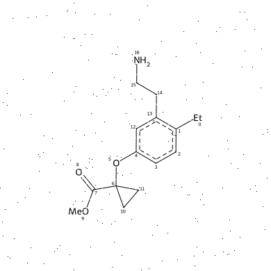 CCc1ccc(OC2(C(=O)OC)CC2)cc1CCN